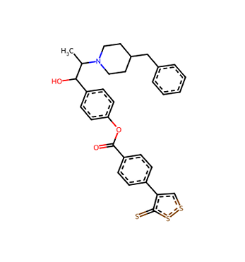 CC(C(O)c1ccc(OC(=O)c2ccc(-c3cssc3=S)cc2)cc1)N1CCC(Cc2ccccc2)CC1